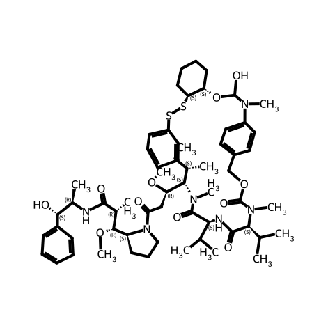 CC[C@H](C)[C@@H]([C@@H](CC(=O)N1CCC[C@H]1[C@H](OC)[C@@H](C)C(=O)N[C@H](C)[C@@H](O)c1ccccc1)OC)N(C)C(=O)[C@@H](NC(=O)[C@H](C(C)C)N(C)C(=O)OCc1ccc(N(C)C(O)O[C@H]2CCCC[C@@H]2SSc2ccccc2)cc1)C(C)C